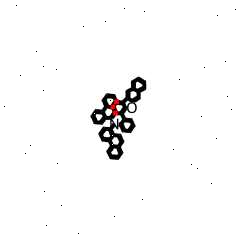 c1ccc(N(c2cccc3c2ccc2ccccc23)c2cc3ccccc3c3ccccc23)c(-c2cccc3c2oc2cc4ccccc4cc23)c1